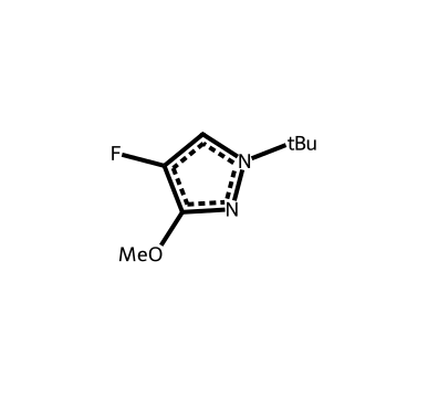 COc1nn(C(C)(C)C)cc1F